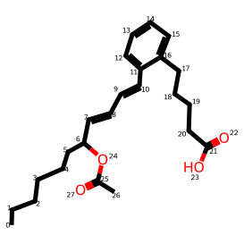 CCCCCCC(C=CC=Cc1ccccc1CCCCC(=O)O)OC(C)=O